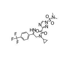 CN(C)S(=O)(=O)n1cnc(S(=O)(=O)N(CC(=N)c2ccc(C(F)(F)F)cc2)C2CC2)n1